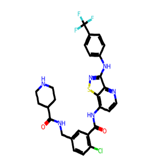 O=C(Nc1ccnc2c(Nc3ccc(C(F)(F)F)cc3)nsc12)c1cc(CNC(=O)C2CCNCC2)ccc1Cl